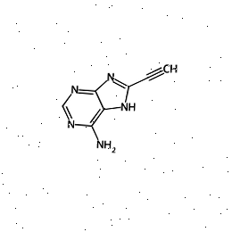 C#Cc1nc2ncnc(N)c2[nH]1